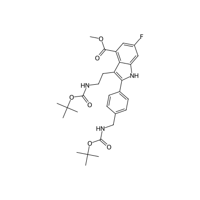 COC(=O)c1cc(F)cc2[nH]c(-c3ccc(CNC(=O)OC(C)(C)C)cc3)c(CCNC(=O)OC(C)(C)C)c12